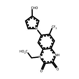 O=Cc1ccn(-c2cc3c(cc2C(F)(F)F)[nH]c(=O)c(=O)n3CC(=O)O)c1